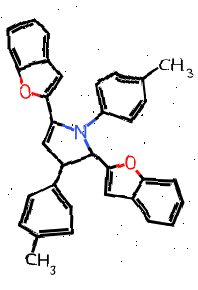 Cc1ccc(C2C=C(c3cc4ccccc4o3)N(c3ccc(C)cc3)C2c2cc3ccccc3o2)cc1